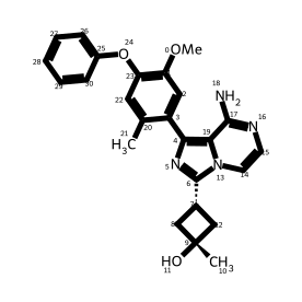 COc1cc(-c2nc([C@H]3C[C@@](C)(O)C3)n3ccnc(N)c23)c(C)cc1Oc1ccccc1